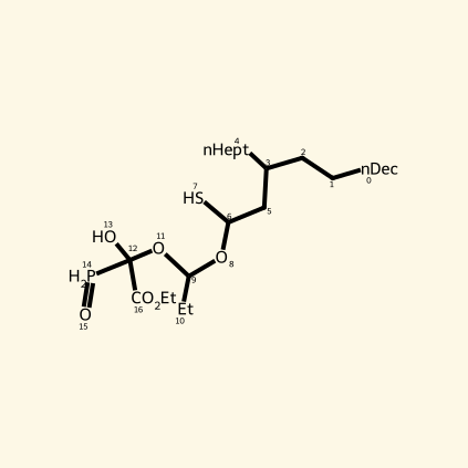 CCCCCCCCCCCCC(CCCCCCC)CC(S)OC(CC)OC(O)([PH2]=O)C(=O)OCC